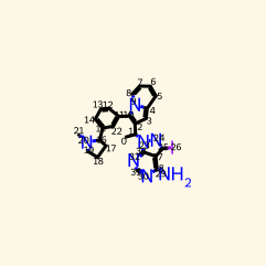 CC(c1cc2ccccn2c1-c1cccc(C2CCCN2C)c1)n1nc(I)c2c(N)ncnc21